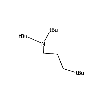 CC(C)(C)CCCN(C(C)(C)C)C(C)(C)C